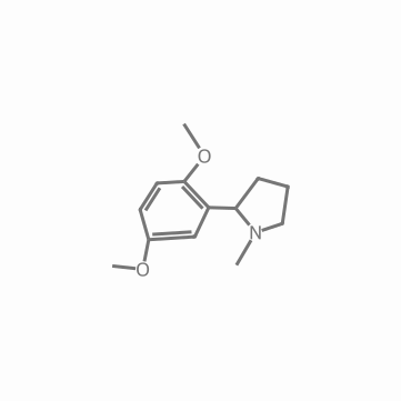 COc1ccc(OC)c(C2CCCN2C)c1